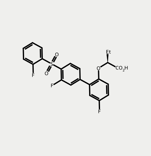 CC[C@H](Oc1ccc(F)cc1-c1ccc(S(=O)(=O)c2ccccc2F)c(F)c1)C(=O)O